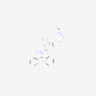 CC(C)c1ccc([C@@H](NC(=O)[C@@H]2C[C@@H](F)CN2C(=O)C2CCC3CCC(=O)N3C2)c2ccccc2)cc1